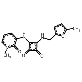 Cc1ccc(CNc2c(Nc3cccn(C)c3=O)c(=O)c2=O)o1